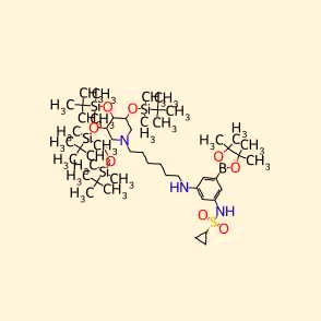 CC1(C)OB(c2cc(NCCCCCCN3CC(O[Si](C)(C)C(C)(C)C)C(O[Si](C)(C)C(C)(C)C)C(O[Si](C)(C)C(C)(C)C)[C@H]3CO[Si](C)(C)C(C)(C)C)cc(NS(=O)(=O)C3CC3)c2)OC1(C)C